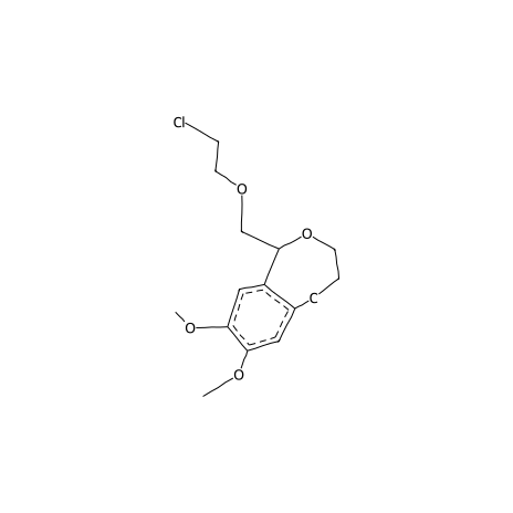 COc1cc2c(cc1OC)C(COCCCl)OCCC2